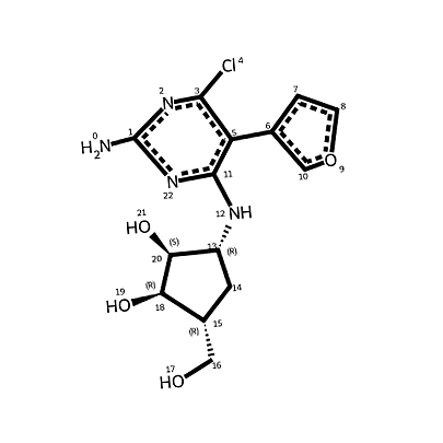 Nc1nc(Cl)c(-c2ccoc2)c(N[C@@H]2C[C@H](CO)[C@@H](O)[C@H]2O)n1